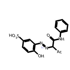 CC(=O)C(/N=N/c1cc(S(=O)(=O)O)ccc1O)C(=O)Nc1ccccc1